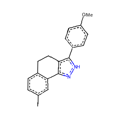 COc1ccc(-c2[nH]nc3c2CCc2ccc(C)cc2-3)cc1